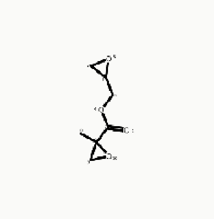 CC1(C(=O)OCC2CO2)CO1